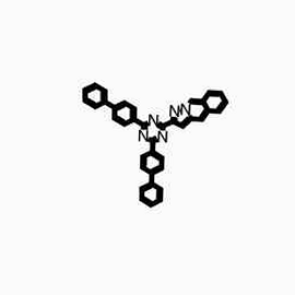 c1ccc(-c2ccc(-c3nc(-c4ccc(-c5ccccc5)cc4)nc(-c4cc5cc6ccccc6cn5n4)n3)cc2)cc1